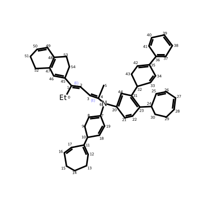 CC/C(=C\C=C(/C)N(C1=CCC(C2=CCCCC=C2)C=C1)c1ccc(C2C=CC=CCC2)c(C2C=CC(c3ccccc3)=CC2)c1)C1=CC2=C(C=CCC2)CC1